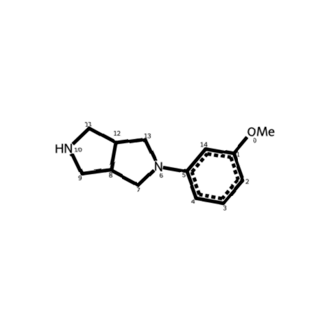 COc1cccc(N2CC3CNCC3C2)c1